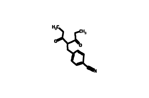 CCC(=O)C(Cc1ccc(C#N)cc1)C(=O)CC